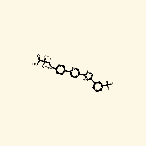 CC(C)(COc1ccc(-c2ccc(-c3ncc(-c4cccc(C(F)(F)F)c4)[nH]3)cn2)cc1)C(=O)O